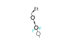 CCC#CCc1ccc(C#Cc2cc(F)c(C3CCC(C)CC3)c(F)c2)cc1